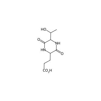 CC(O)C1NC(=O)C(CCC(=O)O)NC1=O